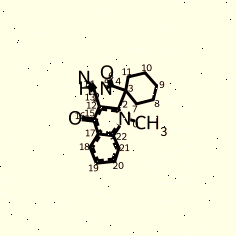 Cn1c(C2(C(N)=O)CCCCC2)c(C#N)c(=O)c2ccccc21